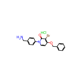 Cl.NCc1ccc(-n2ccc(OCc3ccccc3)c(Br)c2=O)cc1